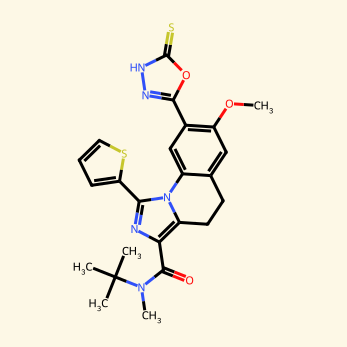 COc1cc2c(cc1-c1n[nH]c(=S)o1)-n1c(-c3cccs3)nc(C(=O)N(C)C(C)(C)C)c1CC2